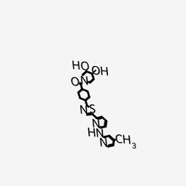 Cc1ccnc(Nc2cccc(-c3cnc(C4CCC(C(=O)N5CC[C@H](O)[C@H](O)C5)CC4)s3)n2)c1